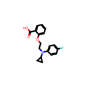 O=C(O)c1ccccc1OCCN(c1ccc(F)cc1)C1CC1